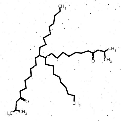 CCCCCCCCCC(CCCCCCCC(=O)CC(C)C)C(CCCCCCCCC)CCCCCCCC(=O)CC(C)C